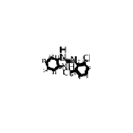 Clc1cccc(Cl)c1N=C1NC2CCCCC2N1